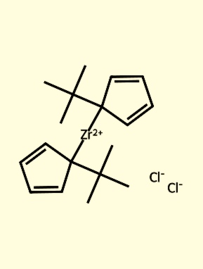 CC(C)(C)[C]1([Zr+2][C]2(C(C)(C)C)C=CC=C2)C=CC=C1.[Cl-].[Cl-]